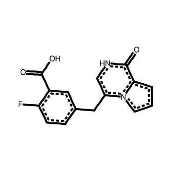 O=C(O)c1cc(Cc2c[nH]c(=O)c3cccn23)ccc1F